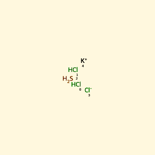 Cl.Cl.S.[Cl-].[K+]